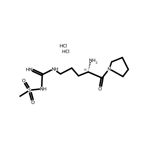 CS(=O)(=O)NC(=N)NCCC[C@H](N)C(=O)N1CCCC1.Cl.Cl